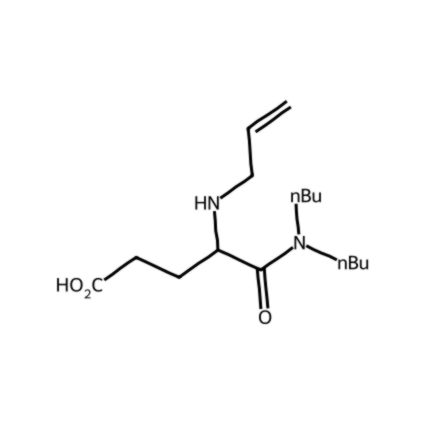 C=CCNC(CCC(=O)O)C(=O)N(CCCC)CCCC